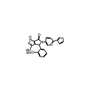 COc1ccccc1C1c2c(C(C)(C)C)n[nH]c2C(=O)N1c1ccc(-c2ccsc2)nc1